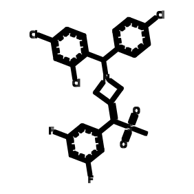 CS(=O)(=O)C(=C1CN(C(c2ccc(Cl)cc2)c2ccc(Cl)cc2Cl)C1)c1cc(F)cc(F)c1